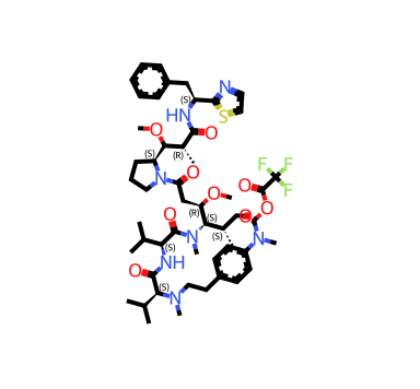 CC[C@H](C)[C@@H]([C@@H](CC(=O)N1CCC[C@H]1C(OC)[C@@H](C)C(=O)N[C@@H](Cc1ccccc1)c1nccs1)OC)N(C)C(=O)[C@@H](NC(=O)[C@H](C(C)C)N(C)CCc1ccc(N(C)C(=O)OC(=O)C(F)(F)F)cc1)C(C)C